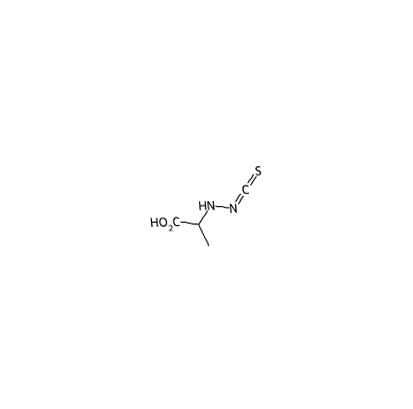 CC(NN=C=S)C(=O)O